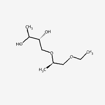 CCOC[C@@H](C)OC[C@@H](O)C(C)O